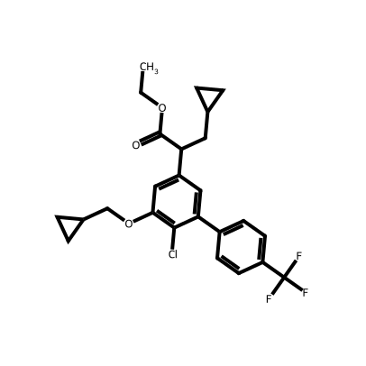 CCOC(=O)C(CC1CC1)c1cc(OCC2CC2)c(Cl)c(-c2ccc(C(F)(F)F)cc2)c1